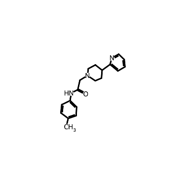 Cc1ccc(NC(=O)CN2CCC(c3ccccn3)CC2)cc1